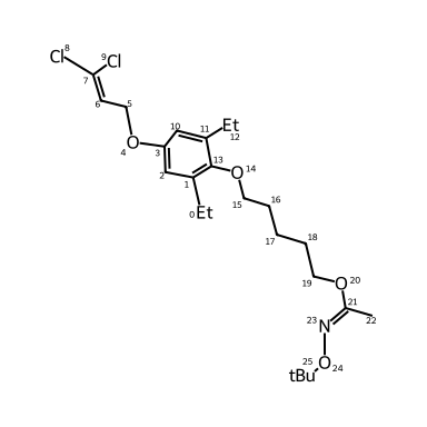 CCc1cc(OCC=C(Cl)Cl)cc(CC)c1OCCCCCOC(C)=NOC(C)(C)C